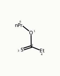 CCCOC(=S)CC